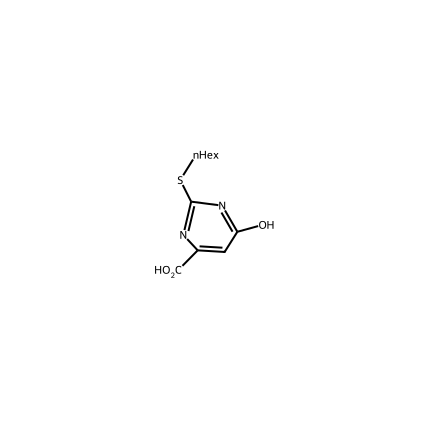 CCCCCCSc1nc(O)cc(C(=O)O)n1